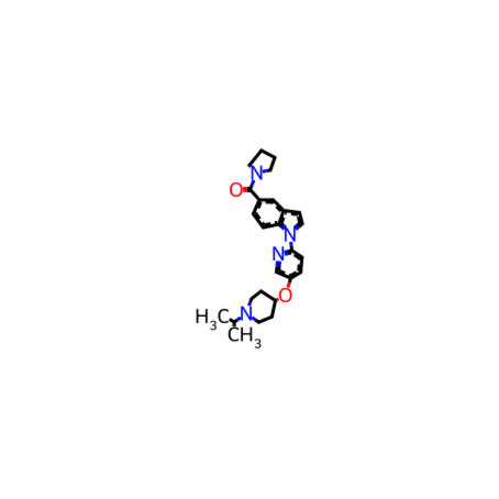 CC(C)N1CCC(Oc2ccc(-n3ccc4cc(C(=O)N5CCCC5)ccc43)nc2)CC1